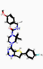 COc1ccc([C@H](C)NC(=O)N2CCN(c3ncnc4cc(-c5ccc(F)cc5)sc34)CC2(C)C)cc1